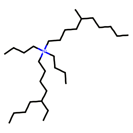 CCCCCC(C)CCCC[N+](CCCC)(CCCC)CCCCC(CC)CCCC